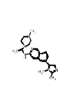 C=C(Nc1cc2cc(-c3cnc(C)n3C)ccc2cn1)N1CCN(C)CC1